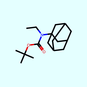 CCN(C(=O)OC(C)(C)C)C12CC3CC(CC(C3)C1)C2